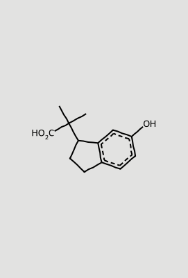 CC(C)(C(=O)O)C1CCc2ccc(O)cc21